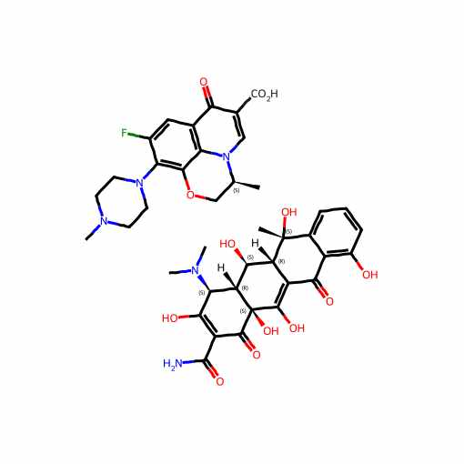 CN(C)[C@@H]1C(O)=C(C(N)=O)C(=O)[C@@]2(O)C(O)=C3C(=O)c4c(O)cccc4[C@@](C)(O)[C@H]3[C@H](O)[C@@H]12.C[C@H]1COc2c(N3CCN(C)CC3)c(F)cc3c(=O)c(C(=O)O)cn1c23